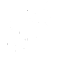 [2H]c1c([2H])c([2H])c(N(c2ccc3ccccc3c2)c2cc([Si](C)(C)C)c3ccc4c(B(c5ccccc5)c5ccccc5)cc([Si](C)(C)C)c5ccc2c3c45)c([2H])c1[2H]